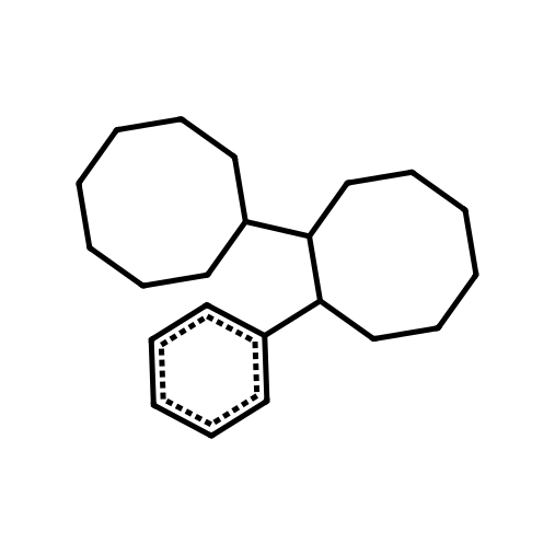 c1ccc(C2CCCCCCC2C2CCCCCCC2)cc1